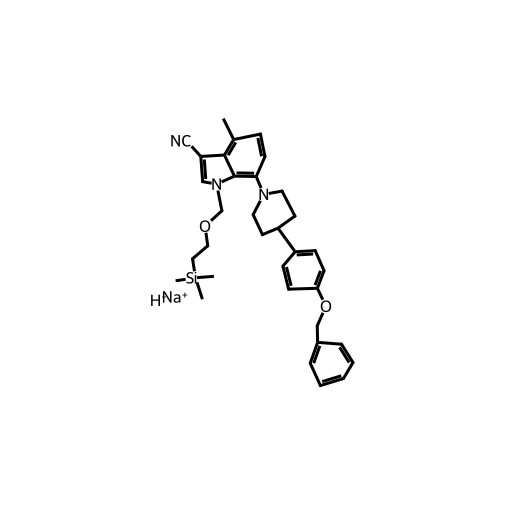 Cc1ccc(N2CCC(c3ccc(OCc4ccccc4)cc3)CC2)c2c1c(C#N)cn2COCC[Si](C)(C)C.[H-].[Na+]